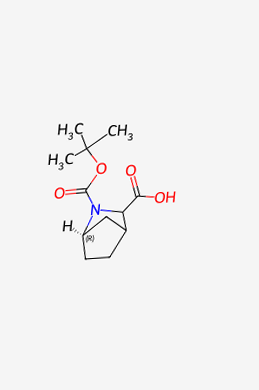 CC(C)(C)OC(=O)N1C(C(=O)O)C2CC[C@@H]1C2